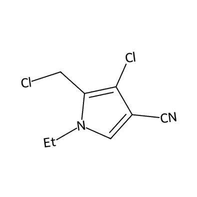 CCn1cc(C#N)c(Cl)c1CCl